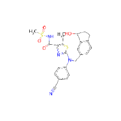 Cc1sc(N(Cc2ccc3c(c2)C(O)CC3)c2ccc(C#N)cc2)nc1C(=O)NS(C)(=O)=O